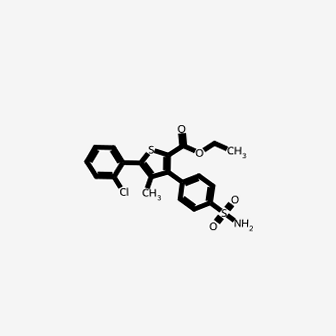 CCOC(=O)c1sc(-c2ccccc2Cl)c(C)c1-c1ccc(S(N)(=O)=O)cc1